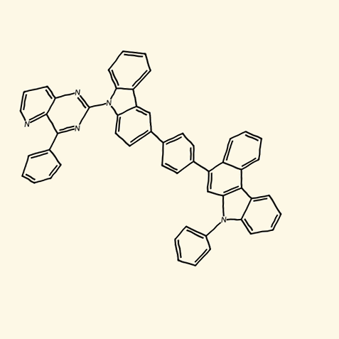 c1ccc(-c2nc(-n3c4ccccc4c4cc(-c5ccc(-c6cc7c(c8ccccc68)c6ccccc6n7-c6ccccc6)cc5)ccc43)nc3cccnc23)cc1